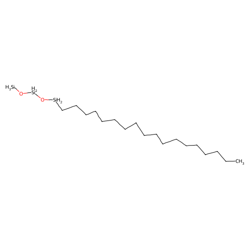 CCCCCCCCCCCCCCCCCC[SiH2]O[SiH2]O[SiH3]